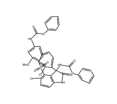 COc1cc(NC(=O)Oc2ccccc2)ccc1S(=O)(=O)c1c(Cl)ccc2c1C(NC(=O)Oc1ccccc1)(c1ccccc1Cl)C(=O)N2